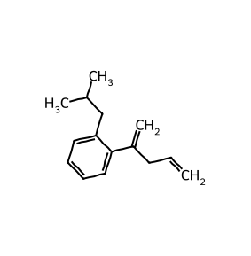 C=CCC(=C)c1ccccc1CC(C)C